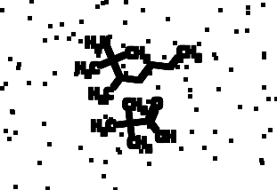 CC(C)(C)C(=O)O.CCCCC(C)C(C)(C)N